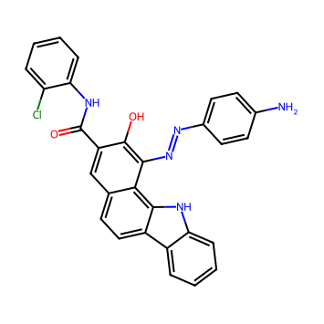 Nc1ccc(N=Nc2c(O)c(C(=O)Nc3ccccc3Cl)cc3ccc4c5ccccc5[nH]c4c23)cc1